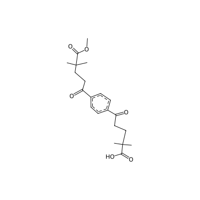 COC(=O)C(C)(C)CCC(=O)c1ccc(C(=O)CCC(C)(C)C(=O)O)cc1